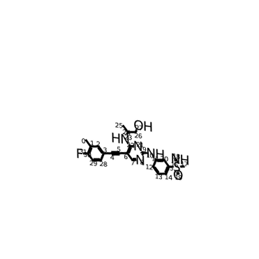 Cc1cc(C#Cc2cnc(Nc3cccc(S(C)(=N)=O)c3)nc2NC(C)CO)ccc1F